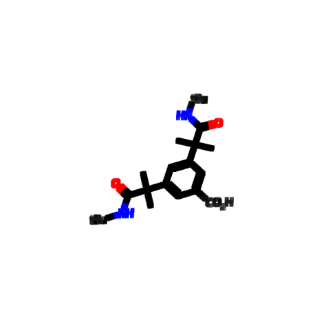 CC(C)(C)NC(=O)C(C)(C)c1cc(C(=O)O)cc(C(C)(C)C(=O)NC(C)(C)C)c1